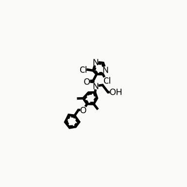 Cc1cc(N(CCO)C(=O)c2c(Cl)ncnc2Cl)cc(C)c1OCc1ccccc1